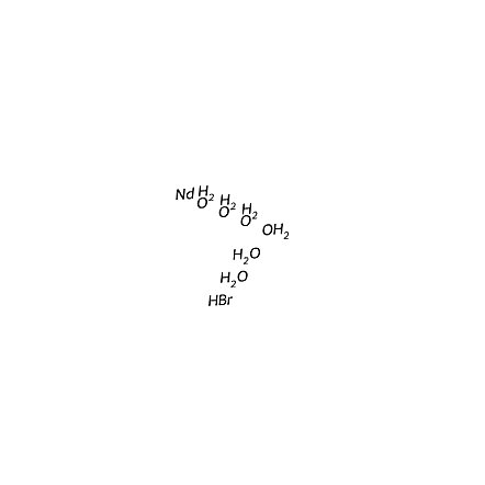 Br.O.O.O.O.O.O.[Nd]